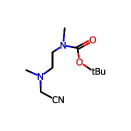 CN(CC#N)CCN(C)C(=O)OC(C)(C)C